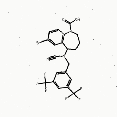 N#CN(Cc1cc(C(F)(F)F)cc(C(F)(F)F)c1)C1CCCN(C(=O)O)c2ccc(Br)cc21